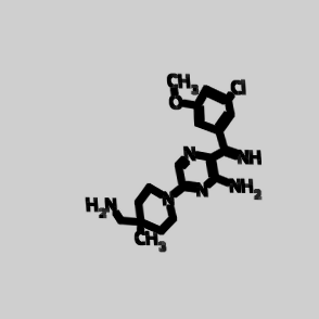 COc1cc(Cl)cc(C(=N)c2ncc(N3CCC(C)(CN)CC3)nc2N)c1